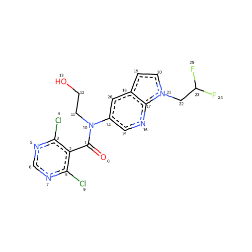 O=C(c1c(Cl)ncnc1Cl)N(CCO)c1cnc2c(ccn2CC(F)F)c1